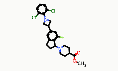 COC(=O)C1CCN(C2CCc3cc(C4CN(c5c(Cl)cccc5Cl)C4)cc(F)c32)CC1